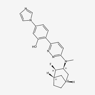 CN(c1ccc(-c2ccc(-n3ccnc3)cc2O)nn1)[C@H]1C[C@@H]2CC[C@@H](C2)[C@H]1F